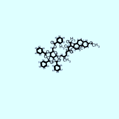 COC1CCC2(C)C(CCC3C(C)C(C)(C(C=O)[C@H](C)C(=O)CC[C@H](C)CO[C@@H]4OC(COC(=O)c5ccccc5)[C@@H](OC(=O)c5ccccc5)C(OC(=O)c5ccccc5)C4OC(=O)c4ccccc4)CCC32)C1